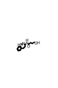 O=C(CCCO)NC1=NNc2ccccc2C=C1